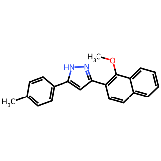 COc1c(-c2cc(-c3ccc(C)cc3)[nH]n2)ccc2ccccc12